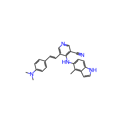 Cc1c(Nc2c(C#N)cncc2C=Cc2ccc(N(C)C)cc2)ccc2[nH]ccc12